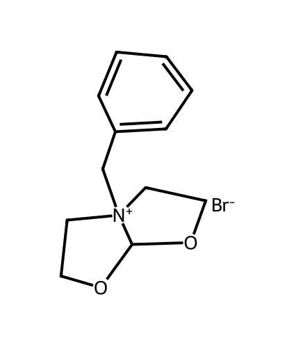 [Br-].c1ccc(C[N+]23CCOC2OCC3)cc1